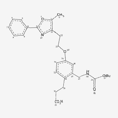 Cc1oc(-c2ccccc2)nc1CCOc1ccc(CCC(=O)O)c(CNC(=O)OCC(C)C)c1